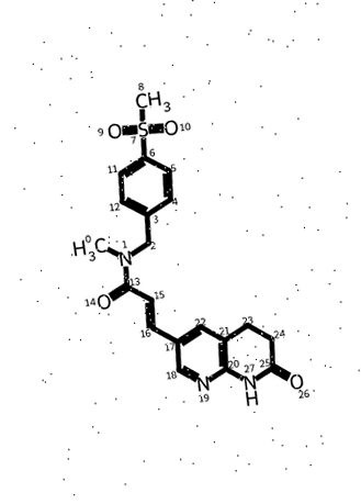 CN(Cc1ccc(S(C)(=O)=O)cc1)C(=O)C=Cc1cnc2c(c1)CCC(=O)N2